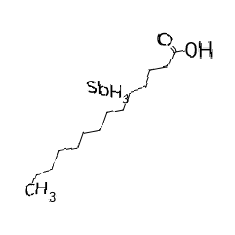 CCCCCCCCCCCCCC(=O)O.[SbH3]